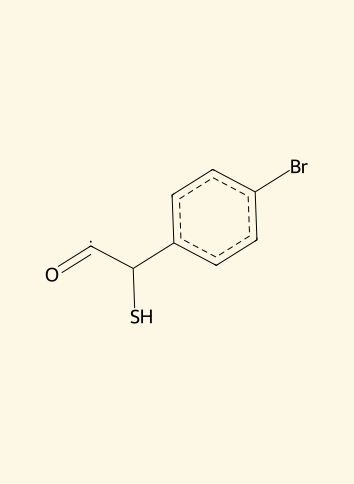 O=[C]C(S)c1ccc(Br)cc1